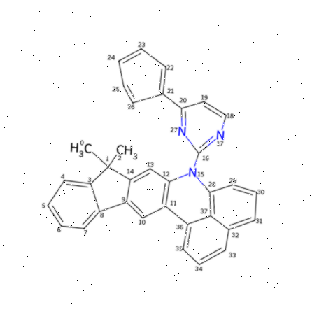 CC1(C)c2ccccc2-c2cc3c(cc21)N(c1nccc(-c2ccccc2)n1)c1cccc2cccc-3c12